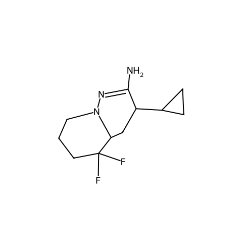 NC1=NN2CCCC(F)(F)C2CC1C1CC1